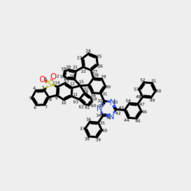 O=S1(=O)c2ccccc2-c2cc3c(cc21)C1(c2ccccc2-c2ccccc2-c2ccc(-c4nc(-c5ccccc5)nc(-c5cccc(-c6ccccc6)c5)n4)cc21)c1ccccc1-3